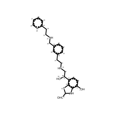 O=CC1Nc2c(O)ccc([C@@H](O)CNCCc3cccc(CNCCc4ccccn4)c3)c2S1